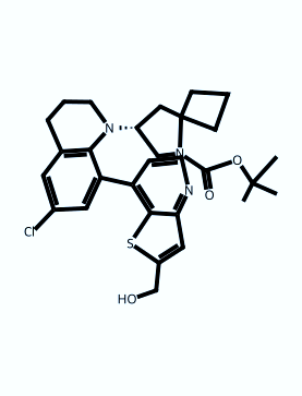 CC(C)(C)OC(=O)N1C[C@H](N2CCCc3cc(Cl)cc(-c4ccnc5cc(CO)sc45)c32)CC12CCC2